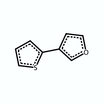 c1csc(-c2ccoc2)c1